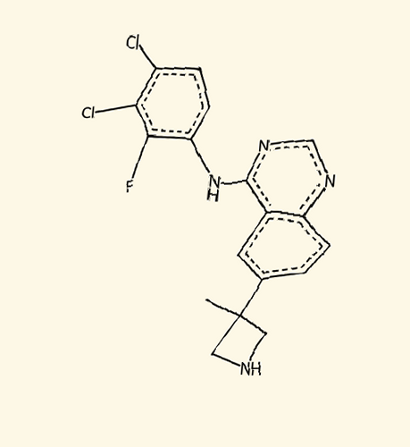 CC1(c2ccc3ncnc(Nc4ccc(Cl)c(Cl)c4F)c3c2)CNC1